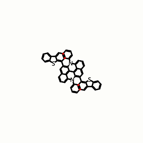 c1ccc(-n2c3c(-c4cccc5c4sc4ccccc45)cc4cccc5c4c3-c3c4c(cccc42)cc(-c2cccc4c2sc2ccccc24)c3n5-c2ccccc2)cc1